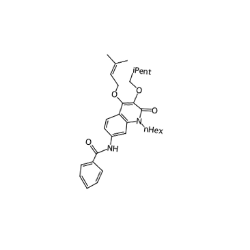 CCCCCCn1c(=O)c(OCC(C)CCC)c(OCC=C(C)C)c2ccc(NC(=O)c3ccccc3)cc21